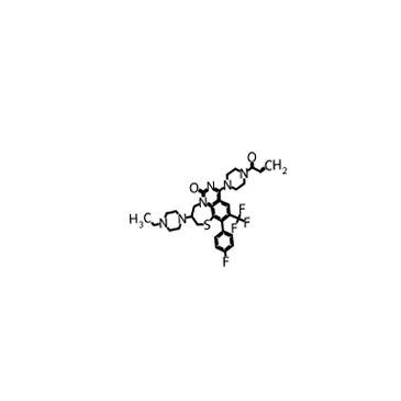 C=CC(=O)N1CCN(c2nc(=O)n3c4c(c(-c5ccc(F)cc5)c(C(F)(F)F)cc24)SCC(N2CCN(CC)CC2)C3)CC1